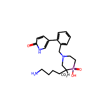 NCCCCC1(C(=O)O)CN(Cc2ccccc2-c2ccc(=O)[nH]c2)CCP1(=O)O